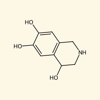 Oc1cc2c(cc1O)C(O)CNC2